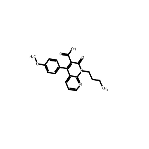 CCCCn1c(=O)c(C(=O)O)c(-c2ccc(OC)cc2)c2cccnc21